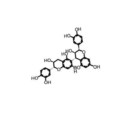 Oc1cc(O)c2c(c1)O[C@H](c1ccc(O)c(O)c1)[C@H](O)[C@H]2c1c(O)cc2c(c1O)C[C@H](O)[C@@H](c1ccc(O)c(O)c1)O2